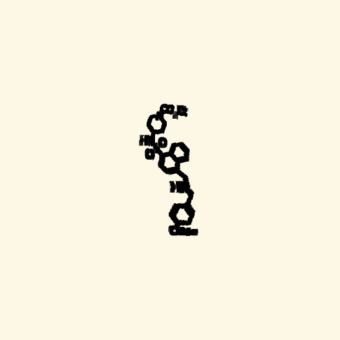 CCOC(=O)N1CCC(NS(=O)(=O)c2ccc(CNCc3ccc(OC)cc3)c3ccccc23)CC1